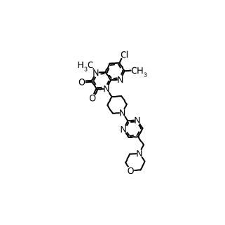 Cc1nc2c(cc1Cl)n(C)c(=O)c(=O)n2C1CCN(c2ncc(CN3CCOCC3)cn2)CC1